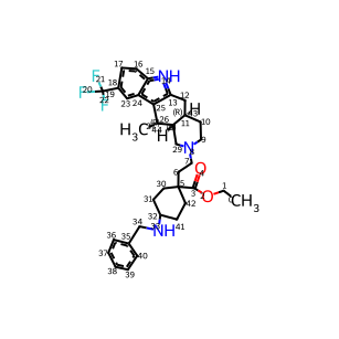 CCOC(=O)C1(CCN2CC[C@@H]3Cc4[nH]c5ccc(C(F)(F)F)cc5c4[C@H](C)[C@H]3C2)CCC(NCc2ccccc2)CC1